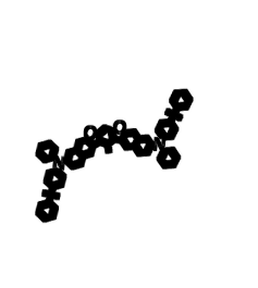 Cc1c2c(cc3oc4cc5cc(N(c6ccccc6)c6ccc(C(C)(C)c7ccccc7)cc6)ccc5cc4c13)oc1cc3cc(N(c4ccccc4)c4ccc(C(C)(C)c5ccccc5)cc4)ccc3cc12